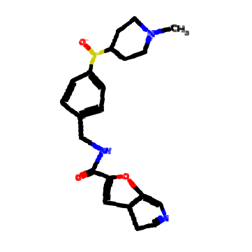 CN1CCC([S+]([O-])c2ccc(CNC(=O)C3=CC4CC=NC=C4O3)cc2)CC1